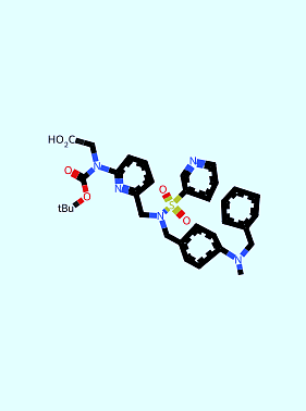 CN(Cc1ccccc1)c1ccc(CN(Cc2cccc(N(CC(=O)O)C(=O)OC(C)(C)C)n2)S(=O)(=O)c2cccnc2)cc1